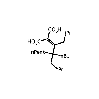 CCCCCC(CCCC)(CC(C)C)C(CC(C)C)=C(C(=O)O)C(=O)O